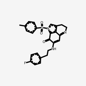 Cc1ccc(S(=O)(=O)n2cc3c4c2C(=O)C(NCCc2ccc(F)cc2)=CC4=NCC3)cc1